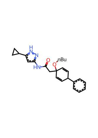 CCCCOC1(CC(=O)Nc2cc(C3CC3)[nH]n2)C=CC(c2ccccc2)C=C1